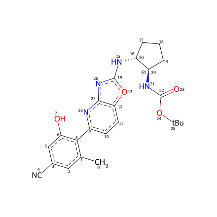 Cc1cc(C#N)cc(O)c1-c1ccc2oc(N[C@@H]3CCC[C@H]3NC(=O)OC(C)(C)C)nc2n1